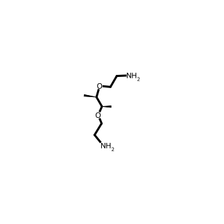 C[C@@H](OCCN)[C@@H](C)OCCN